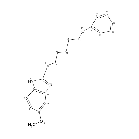 COc1ccc2[nH]c(SCCCCCOc3ccccn3)nc2c1